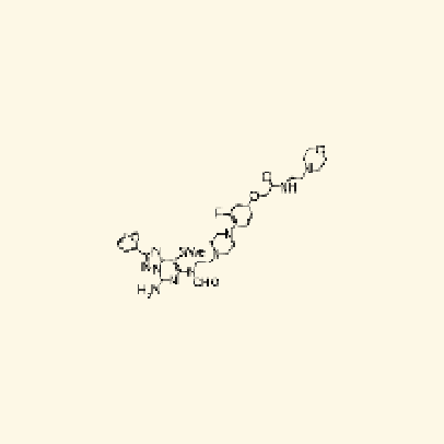 CSc1c(N(C=O)CCN2CCN(c3ccc(OCC(=O)NCCN4CCOCC4)cc3F)CC2)nc(N)n2nc(-c3ccco3)nc12